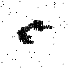 COC(=O)N[C@H](C(=O)N1CCC[C@H]1C(=O)N1CCC[C@H]1C(=O)Nc1ccc(-c2ccc(-c3cnc([C@@H]4CCCN4C(=O)[C@@H](NC(=O)OC)C(C)C)[nH]3)cc2)cc1)C(C)C